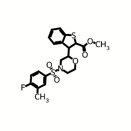 COC(=O)C1Sc2ccccc2C1C1CN(S(=O)(=O)c2ccc(F)c(C)c2)CCO1